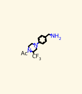 CC(=O)N1CCN(c2ccc(CN)cc2)CC1C(F)(F)F